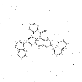 O=c1c2ccccc2c2cc(-c3cccc4ccccc34)cc3c2n1-c1ccc(-c2cccc4ccccc24)cc1O3